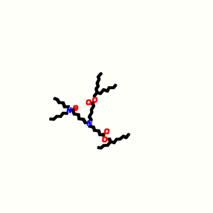 CCCCCCC(CCCC)COC(=O)CCCCCN(CCCCCC(=O)OCC(CCCCCC)CCCCCC)CCCCCC(=O)N(CCCCCC)CCCCCC